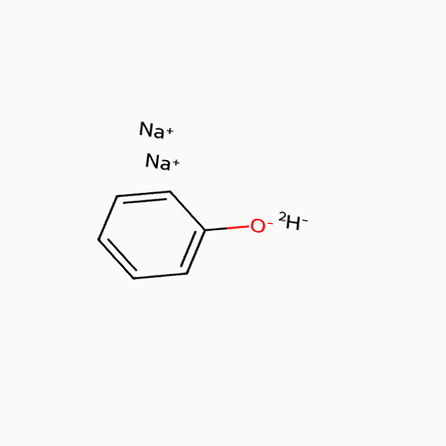 [2H-].[Na+].[Na+].[O-]c1ccccc1